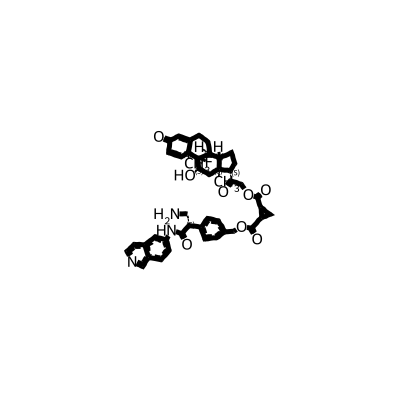 C[C@]12C[C@H](O)[C@@]3(F)[C@@H](CCC4=CC(=O)C=C[C@@]43C)[C@@H]1CC[C@@H]2C(=O)COC(=O)C1CC1C(=O)OCc1ccc([C@@H](CN)C(=O)Nc2ccc3cnccc3c2)cc1